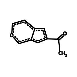 CC(=O)c1cc2ccocc-2c1